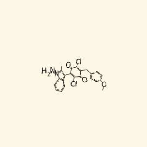 COc1ccc(CC2=C(Cl)C(=O)C(c3c(C)n(N)c4ccccc34)=C(Cl)C2=O)cc1